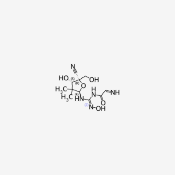 CC1(C)[C@H](N/C(=N/O)NC(=O)C=N)O[C@](C#N)(CO)[C@H]1O